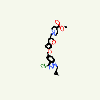 CCOC(=O)C1CCN(CC2=Cc3ccc(OCc4ccc5c(c4)c(Cl)nn5CC4CC4)cc3OC2)CC1